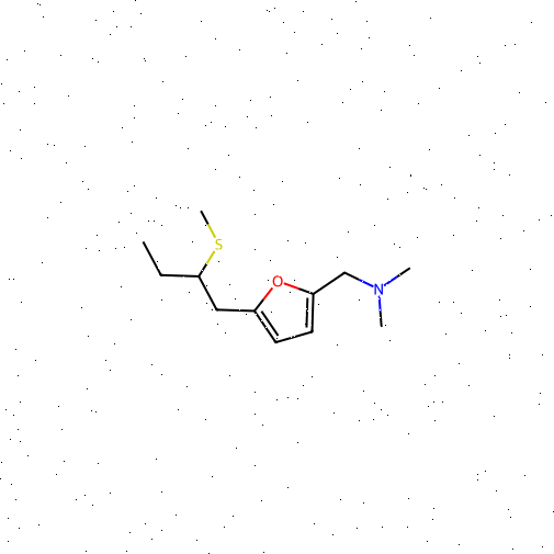 CCC([CH]c1ccc(CN(C)C)o1)SC